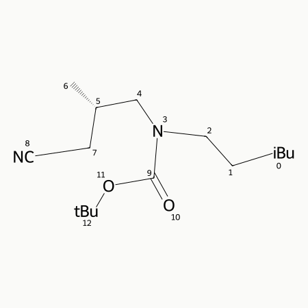 CCC(C)CCN(C[C@@H](C)CC#N)C(=O)OC(C)(C)C